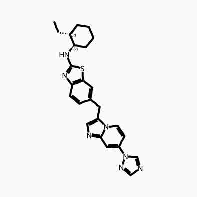 CC[C@@H]1CCCC[C@H]1Nc1nc2ccc(Cc3cnc4cc(-n5cncn5)ccn34)cc2s1